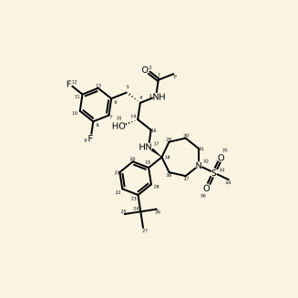 CC(=O)N[C@@H](Cc1cc(F)cc(F)c1)[C@@H](O)CN[C@@]1(c2cccc(C(C)(C)C)c2)CCCN(S(C)(=O)=O)CC1